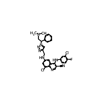 CN(C)CC(c1ccccc1)n1cc(CNc2cc(Cl)c3ncc(C#N)c(Nc4ccc(F)c(Cl)c4)c3c2)nn1